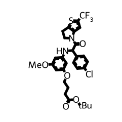 COc1cc(NC(C(=O)N2CCc3sc(C(F)(F)F)cc32)c2ccc(Cl)cc2)cc(OCCCC(=O)OC(C)(C)C)c1